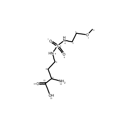 COCCNS(=O)(=O)NCCC(N)C(=O)O